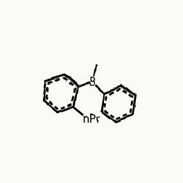 CCCc1ccccc1B(C)c1ccccc1